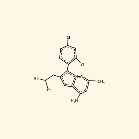 CCC(CC)Cc1cc2c(N)cc(C)nn2c1-c1ccc(Cl)cc1Cl